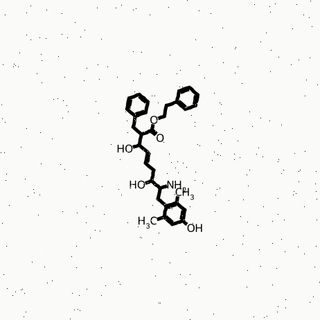 Cc1cc(O)cc(C)c1CC(N)C(O)C/C=C/C(O)C(Cc1ccccc1)C(=O)OCCc1ccccc1